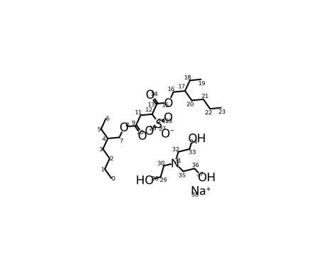 CCCCC(CC)COC(=O)CC(C(=O)OCC(CC)CCCC)S(=O)(=O)[O-].OCCN(CCO)CCO.[Na+]